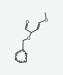 COC=CC(C=O)OCc1ccccc1